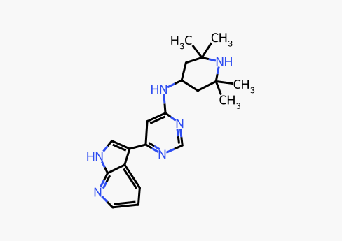 CC1(C)CC(Nc2cc(-c3c[nH]c4ncccc34)ncn2)CC(C)(C)N1